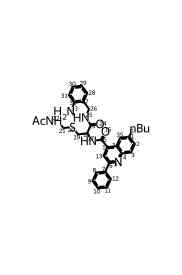 CCCCc1ccc2nc(-c3ccccc3)cc(C(=O)NC(CSCNC(C)=O)C(=O)NCc3ccccc3N)c2c1